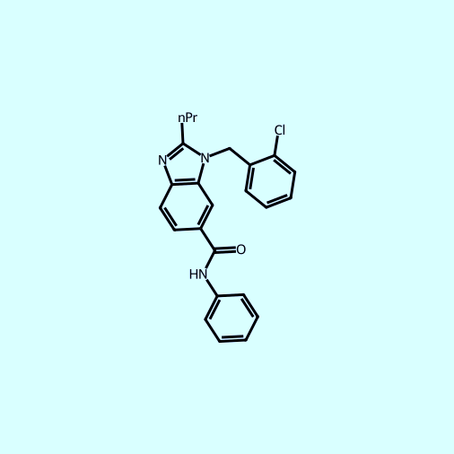 CCCc1nc2ccc(C(=O)Nc3ccccc3)cc2n1Cc1ccccc1Cl